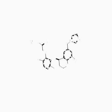 COC(=O)COc1cc(C[C@H]2COc3c(Br)cc(Cn4ccnc4)cc3C2=O)ccc1F